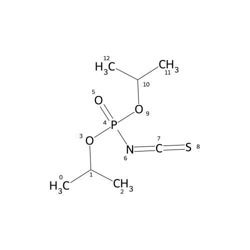 CC(C)OP(=O)(N=C=S)OC(C)C